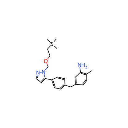 Cc1ccc(Cc2ccc(-c3ccnn3COCC[Si](C)(C)C)cc2)cc1N